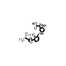 CC(C)c1coc(-c2cccc(CNc3ccc4[nH]nc(C(=O)O)c4c3)c2O)n1